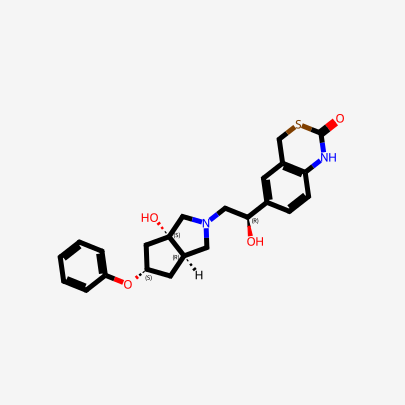 O=C1Nc2ccc([C@@H](O)CN3C[C@H]4C[C@H](Oc5ccccc5)C[C@@]4(O)C3)cc2CS1